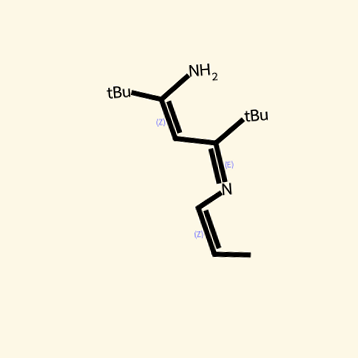 C\C=C/N=C(\C=C(/N)C(C)(C)C)C(C)(C)C